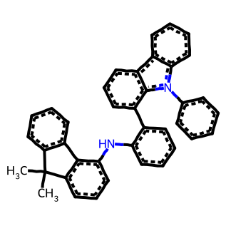 CC1(C)c2ccccc2-c2c(Nc3ccccc3-c3cccc4c5ccccc5n(-c5ccccc5)c34)cccc21